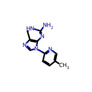 Cc1ccc(-n2cnc3c2N=C(N)NC3)nc1